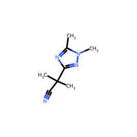 Cc1nc(C(C)(C)C#N)nn1C